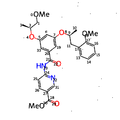 COC[C@H](C)Oc1cc(O[C@@H](C)Cc2ccccc2OC)cc(C(=O)Nc2ccc(C(=O)OC)cn2)c1